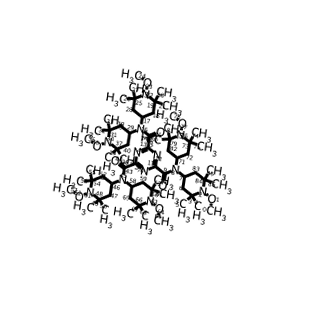 CON1C(C)(C)CC(N(C(=O)c2nc(C(=O)N(C3CC(C)(C)N(OC)C(C)(C)C3)C3CC(C)(C)N(OC)C(C)(C)C3)nc(C(=O)N(C3CC(C)(C)N(OC)C(C)(C)C3)C3CC(C)(C)N(OC)C(C)(C)C3)n2)C2CC(C)(C)N(OC)C(C)(C)C2)CC1(C)C